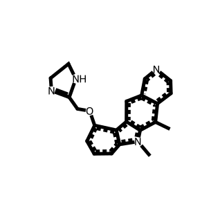 Cc1c2ccncc2cc2c3c(OCC4=NCCN4)cccc3n(C)c12